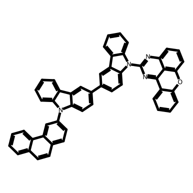 c1ccc2c(c1)Oc1cccc3nc(-n4c5ccccc5c5cc(-c6ccc7c(c6)c6ccccc6n7-c6ccc7ccc8ccccc8c7c6)ccc54)nc-2c13